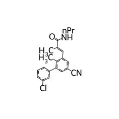 CCCNC(=O)/C(C)=C/c1cc(C#N)cc(-c2cccc(Cl)c2)c1C